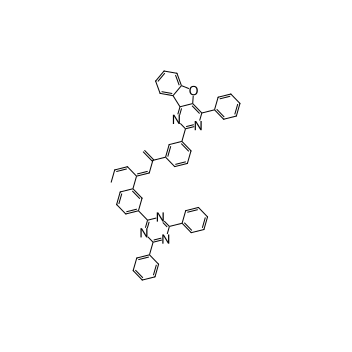 C=C(/C=C(\C=C/C)c1cccc(-c2nc(-c3ccccc3)nc(-c3ccccc3)n2)c1)c1cccc(-c2nc(-c3ccccc3)c3oc4ccccc4c3n2)c1